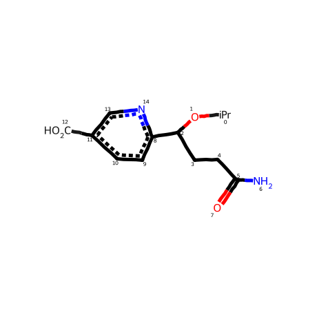 CC(C)OC(CCC(N)=O)c1ccc(C(=O)O)cn1